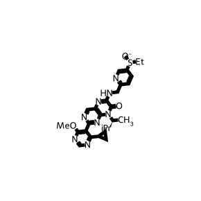 CC[S+]([O-])c1ccc(CNc2nc3cnc(-c4c(OC)ncnc4C4CC4)nc3n([C@H](C)C(C)C)c2=O)nc1